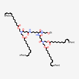 CCCCC/C=C\C/C=C\CCCCCCCC(=O)OCCN(CCOC(=O)CCCCCCC/C=C\C/C=C\CCCCC)C(=O)CCC(=O)NCCCCC(NC(=O)CCC(=O)N(CCOC(=O)CCCCCCC/C=C\C/C=C\CCCCC)CCOC(=O)CCCCCCC/C=C\C/C=C\CCCCC)C(=O)NCCCOCC